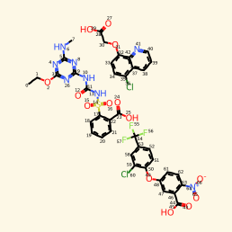 CCOc1nc(NC)nc(NC(=O)NS(=O)(=O)c2ccccc2C(=O)O)n1.O=C(O)COc1ccc(Cl)c2cccnc12.O=C(O)c1cc(Oc2ccc(C(F)(F)F)cc2Cl)ccc1[N+](=O)[O-]